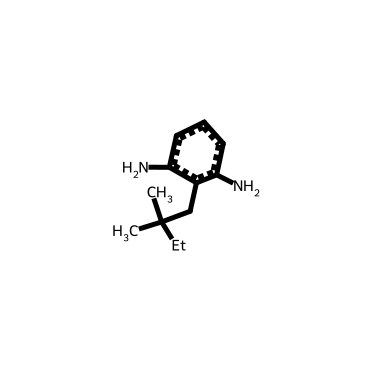 CCC(C)(C)Cc1c(N)cccc1N